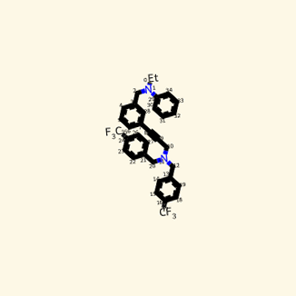 CCN(Cc1cccc(C#CCN(Cc2ccc(C(F)(F)F)cc2)Cc2ccc(C(F)(F)F)cc2)c1)c1ccccc1